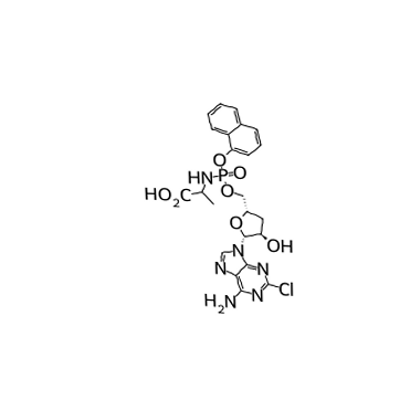 CC(NP(=O)(OC[C@@H]1C[C@@H](O)[C@H](n2cnc3c(N)nc(Cl)nc32)O1)Oc1cccc2ccccc12)C(=O)O